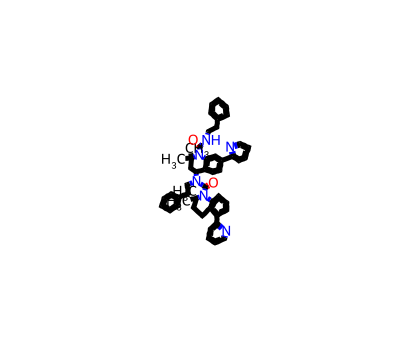 CC1(C)CC(N(CCc2ccccc2)C(=O)N2c3cccc(-c4ccccn4)c3CCC2(C)C)c2ccc(-c3ccccn3)cc2N1C(=O)NCCc1ccccc1